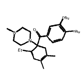 CCCCc1ccc(C(=O)C2(N3CCN(C)CC3)CC(C)=C(C)CC2CC)cc1CCCC